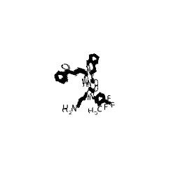 Cc1cc(NC(=O)[C@H](CCCCN)NC(=O)[C@@H]2Cc3ccccc3CN2C(=O)CCC(=O)c2ccccc2)ccc1C(F)(F)F